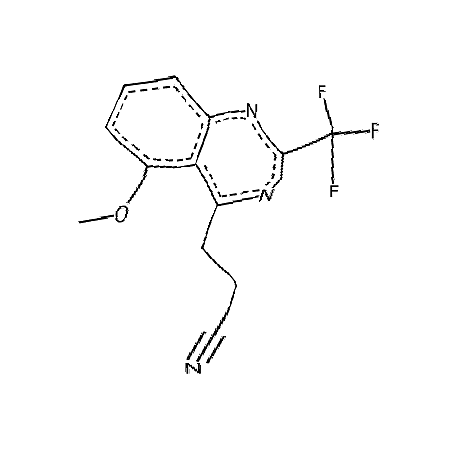 COc1cccc2nc(C(F)(F)F)nc(CCC#N)c12